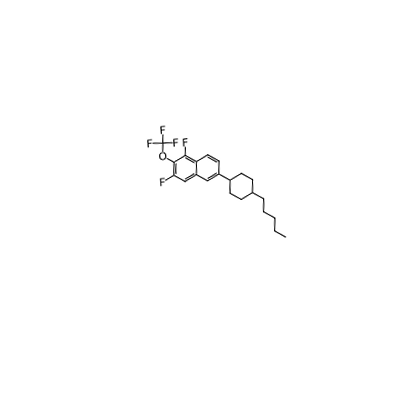 CCCCCC1CCC(c2ccc3c(F)c(OC(F)(F)F)c(F)cc3c2)CC1